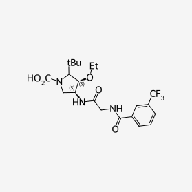 CCO[C@@H]1C(C(C)(C)C)N(C(=O)O)C[C@@H]1NC(=O)CNC(=O)c1cccc(C(F)(F)F)c1